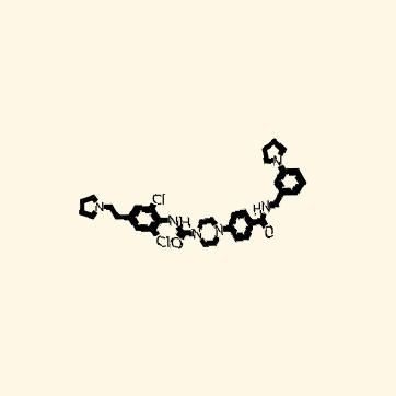 O=C(NCc1cccc(N2CCCC2)c1)c1ccc(N2CCN(C(=O)Nc3c(Cl)cc(CCN4CCCC4)cc3Cl)CC2)cc1